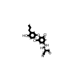 C=CCc1cc(Oc2c(Cl)cc(NNC([C]=O)C#N)cc2Cl)ccc1O